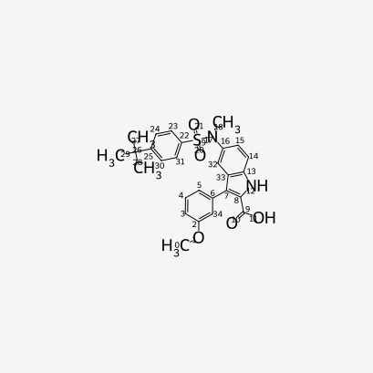 COc1cccc(-c2c(C(=O)O)[nH]c3ccc(N(C)S(=O)(=O)c4ccc(C(C)(C)C)cc4)cc23)c1